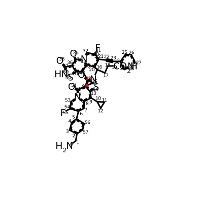 NCc1ccc(-c2cc3c(C4CC4)c4sn(C(CCC(=O)O)c5c(C#Cc6cccnc6)c(F)cn6c(=O)c7c(=O)[nH]sc7c(C7CC7)c56)c(=O)c4c(=O)n3cc2F)cc1